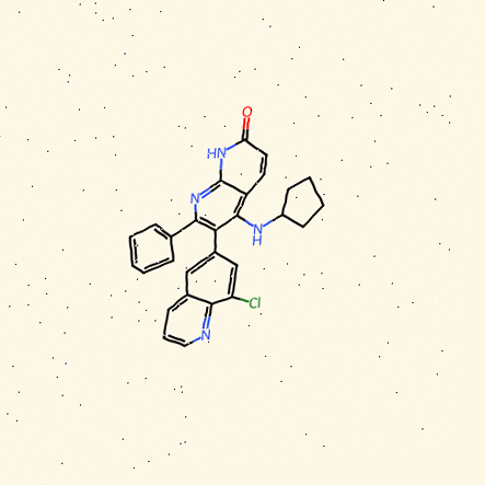 O=c1ccc2c(NC3CCCC3)c(-c3cc(Cl)c4ncccc4c3)c(-c3ccccc3)nc2[nH]1